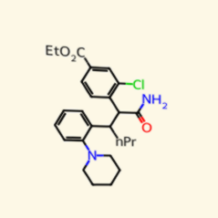 CCCC(c1ccccc1N1CCCCC1)C(C(N)=O)c1ccc(C(=O)OCC)cc1Cl